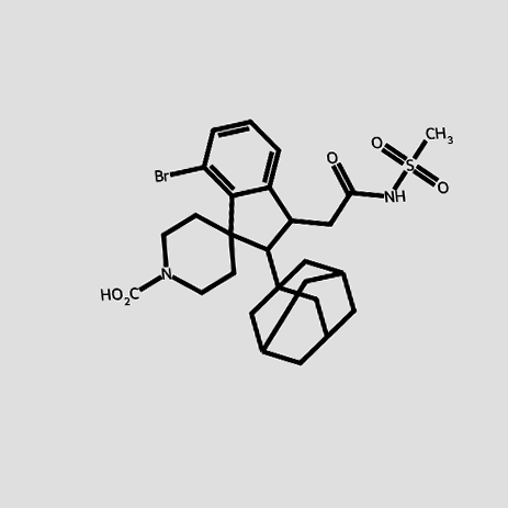 CS(=O)(=O)NC(=O)CC1c2cccc(Br)c2C2(CCN(C(=O)O)CC2)C1C12CC3CC(CC(C3)C1)C2